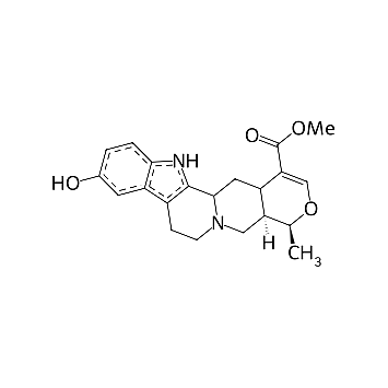 COC(=O)C1=CO[C@@H](C)[C@H]2CN3CCc4c([nH]c5ccc(O)cc45)C3CC12